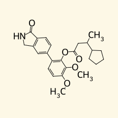 COc1ccc(-c2ccc3c(c2)CNC3=O)c(OC(=O)CC(C)C2CCCC2)c1OC